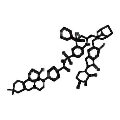 CC1(C)CCC(c2ccc(Cl)cc2)=C(CN2CCN(c3ccc(C(=O)NS(=O)(=O)c4ccc(N[C@H](CCN5C6CCC5CN(Cc5cc7c(cc5F)C(=O)N(C5CCC(=O)NC5=O)C7)C6)CSc5ccccc5)c(S(=O)(=O)C(F)(F)F)c4)cc3)CC2)C1